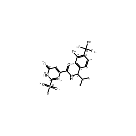 CC(C)C(NC(=O)c1cc(=O)[nH]c(S(C)(=O)=O)n1)c1ccc(C(F)(F)F)c(F)c1